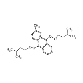 Cc1ccc2c(OOCCC(C)C)c3ccccc3c(OOCCC(C)C)c2c1